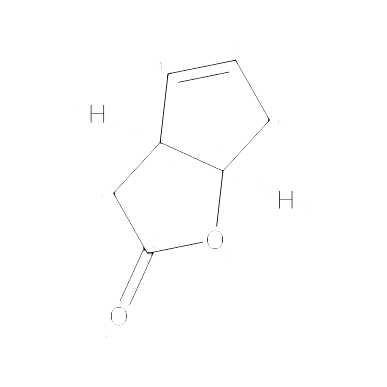 O=C1C[C@H]2C=CC[C@H]2O1